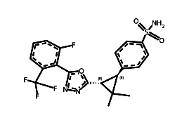 CC1(C)[C@H](c2ccc(S(N)(=O)=O)cc2)[C@H]1c1nnc(-c2c(F)cccc2C(F)(F)F)o1